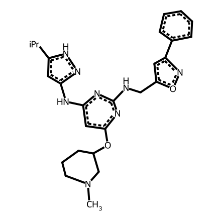 CC(C)c1cc(Nc2cc(OC3CCCN(C)C3)nc(NCc3cc(-c4ccccc4)no3)n2)n[nH]1